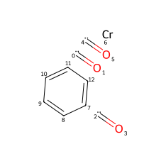 [C]=O.[C]=O.[C]=O.[Cr].c1ccccc1